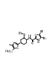 CCOC(=O)c1sc(N2CCC(NC(=O)c3nc(C(F)(F)F)c(CC)[nH]3)C(OCC)C2)nc1C